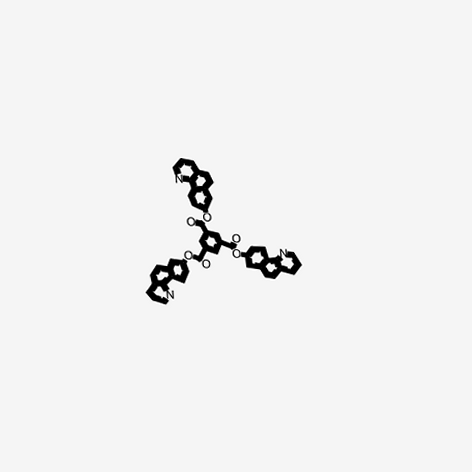 O=C(Oc1ccc2c(ccc3cccnc32)c1)c1cc(C(=O)Oc2ccc3c(ccc4cccnc43)c2)cc(C(=O)Oc2ccc3c(ccc4cccnc43)c2)c1